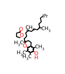 Cc1c(C)c2c(c(C)c1O)CC[C@@](C)(CCC[C@H](C)CCC[C@H](C)CCCC(C)C)O2.O=C1CCCO1